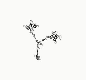 Cc1sc2c(c1C)C(c1ccc(Cl)cc1)=N[C@@H](CC(=O)NCCOCCOCCOCC(C)(COCCOCCOCCNC(=O)C[C@@H]1N=C(c3ccc(Cl)cc3)c3c(sc(C)c3C)-n3c(C)nnc31)COCC(=O)NCCCCCNC(=O)OC(C)(C)C)c1nnc(C)n1-2